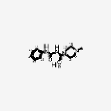 CN1CCN(C(=O)NC(=O)Nc2ccccc2)CC1.I